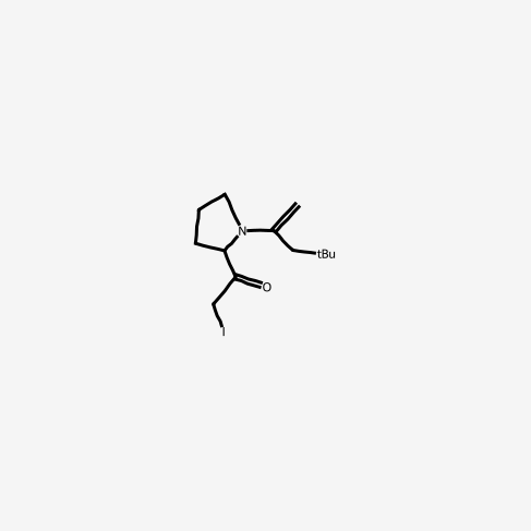 C=C(CC(C)(C)C)N1CCCC1C(=O)CI